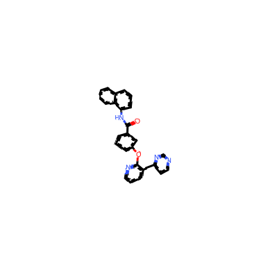 O=C(Nc1cccc2ccccc12)c1cccc(Oc2ncccc2-c2ccncn2)c1